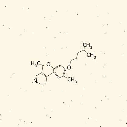 Cc1cc2c(cc1OCCCC(C)C)OC(C)c1cnccc1-2